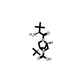 CC(C)(C)[C@H](N)C(=O)N1C[C@@]2(C(C)(C)C)C[C@H]1CN2C(=O)O